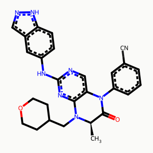 C[C@@H]1C(=O)N(c2cccc(C#N)c2)c2cnc(Nc3ccc4[nH]ncc4c3)nc2N1CC1CCOCC1